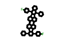 Fc1ccc(-c2ccc(-c3ccccc3)c3c2-c2ccc4c5ccc6c7c(ccc(c8ccc-3c2c48)c75)-c2c-6c(-c3ccccc3)c3ccccc3c2-c2ccc(F)cc2)cc1